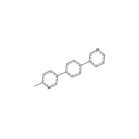 Cc1ccc(-c2ccc(-c3cccnc3)cc2)cn1